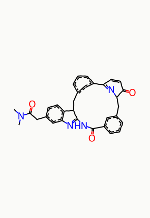 CN(C)C(=O)Cc1ccc2c(c1)N=C1NC(=O)c3cccc(c3)CC3N=C(C=CC3=O)c3cccc(c3)CC12